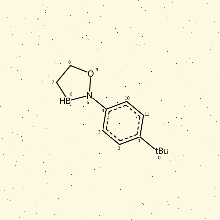 CC(C)(C)c1ccc(N2BCCO2)cc1